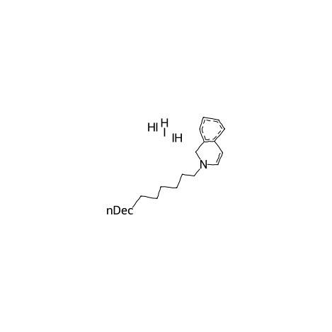 CCCCCCCCCCCCCCCCN1C=Cc2ccccc2C1.I.I.I